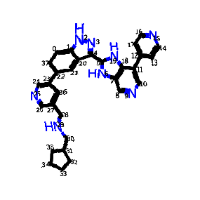 C1=c2[nH]nc(C3Nc4cncc(-c5ccncc5)c4N3)c2=CC(c2cncc(CNCC3CCCC3)c2)C1